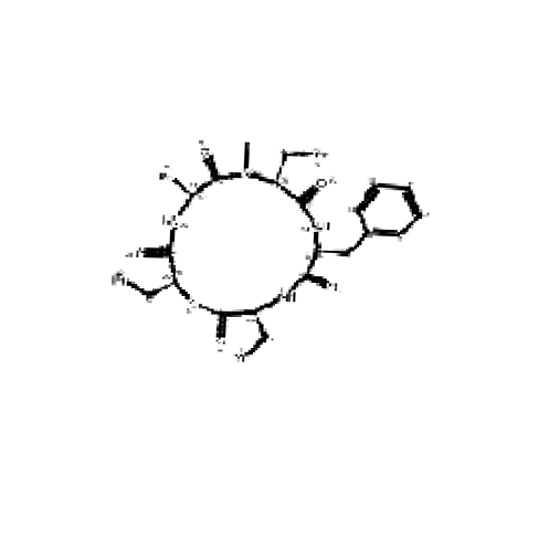 CC(C)C[C@@H]1NC(=O)[C@H](Cc2ccccc2)NC(=O)[C@H](CC(C)C)N(C)C(=O)[C@H](C(C)C)NC(=O)[C@H](CC(C)C)OC1=O